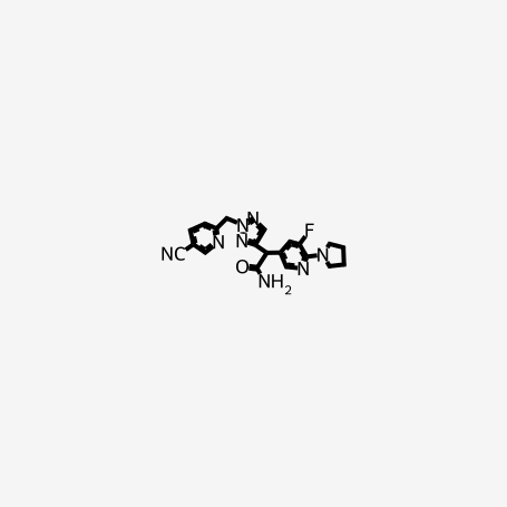 N#Cc1ccc(Cn2ncc(C(C(N)=O)c3cnc(N4CCCC4)c(F)c3)n2)nc1